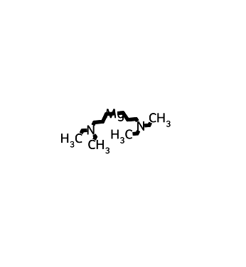 CCN(CC)CC[CH2][Mg][CH2]CCN(CC)CC